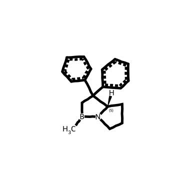 CB1CC(c2ccccc2)(c2ccccc2)[C@@H]2CCCN12